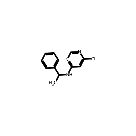 CC(Nc1cc(Cl)ncn1)c1ccccc1